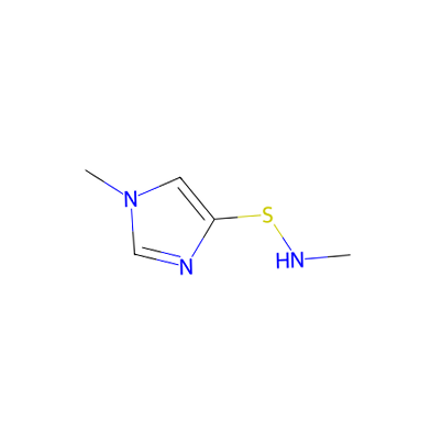 CNSc1cn(C)cn1